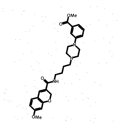 COC(=O)c1cccc(N2CCN(CCCCNC(=O)C3=Cc4ccc(OC)cc4OC3)CC2)c1